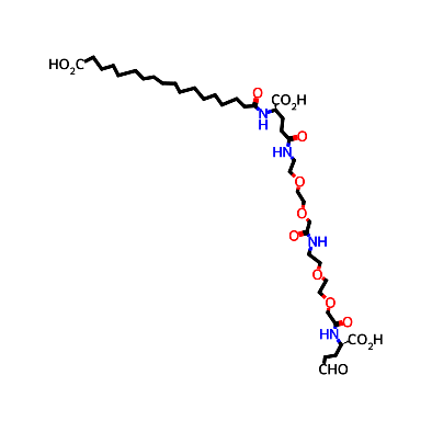 O=CCC[C@H](NC(=O)COCCOCCNC(=O)COCCOCCNC(=O)CC[C@H](NC(=O)CCCCCCCCCCCCCCCCC(=O)O)C(=O)O)C(=O)O